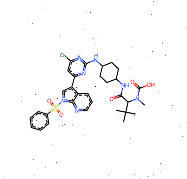 CN(C(=O)O)C(C(=O)NC1CCC(Nc2nc(Cl)cc(-c3cn(S(=O)(=O)c4ccccc4)c4ncccc34)n2)CC1)C(C)(C)C